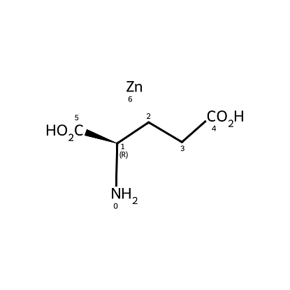 N[C@H](CCC(=O)O)C(=O)O.[Zn]